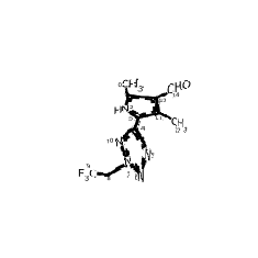 Cc1[nH]c(-c2nnn(CC(F)(F)F)n2)c(C)c1C=O